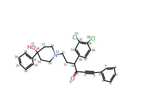 O=C(C#Cc1ccccc1)C(CCN1CCC(O)(c2ccccc2)CC1)c1ccc(Cl)c(Cl)c1